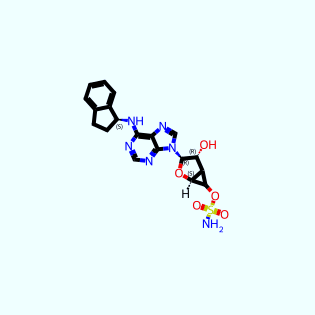 NS(=O)(=O)OC1C2[C@@H]1O[C@@H](n1cnc3c(N[C@H]4CCc5ccccc54)ncnc31)[C@@H]2O